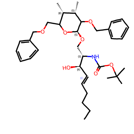 CCCC/C=C/[C@@H](O)[C@H](CO[C@H]1OC(COCc2ccccc2)[C@H](C)[C@H](C)C1OCc1ccccc1)NC(=O)OC(C)(C)C